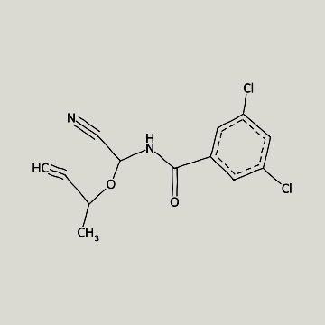 C#CC(C)OC(C#N)NC(=O)c1cc(Cl)cc(Cl)c1